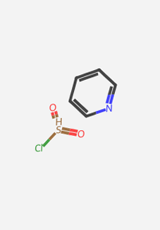 O=[SH](=O)Cl.c1ccncc1